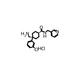 Cl.NC[C@]1(c2cccc(Cl)c2)CC[C@H](C(=O)NCc2cccnc2)CC1